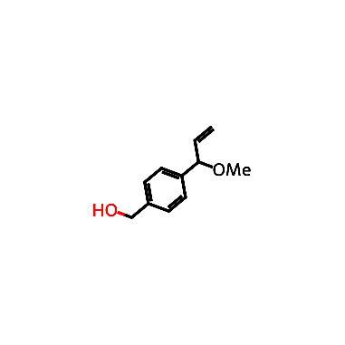 C=CC(OC)c1ccc(CO)cc1